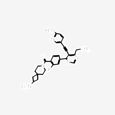 CCc1ncnc(-c2ccc(C(=O)N3CCC4(CC3)CC(N)C4)c(F)c2)c1C#Cc1ccc(N)nc1